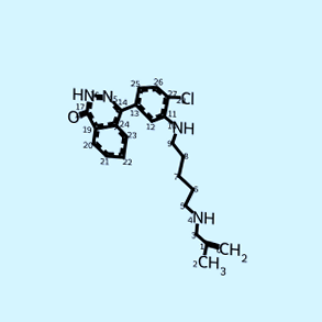 C=C(C)CNCCCCCNc1cc(-c2n[nH]c(=O)c3ccccc23)ccc1Cl